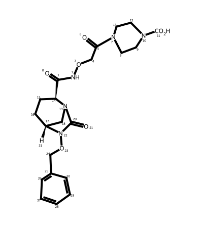 O=C(NOCC(=O)N1CCN(C(=O)O)CC1)[C@@H]1CC[C@@H]2CN1C(=O)N2OCc1ccccc1